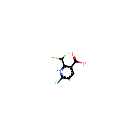 O=C(O)c1ccc(Cl)nc1C(F)F